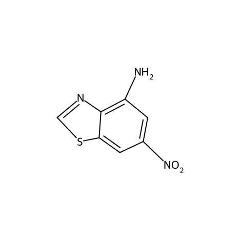 Nc1cc([N+](=O)[O-])cc2scnc12